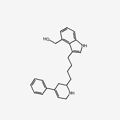 OCc1cccc2[nH]cc(CCCCC3CC(c4ccccc4)=CCN3)c12